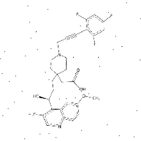 COc1ccc2ncc(C)c([C@@H](O)CCC3(CC(=O)O)CCN(CC#Cc4c(F)cc(F)cc4F)CC3)c2c1